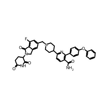 NC(=O)c1ccc(C2CCN(Cc3cc(F)c4c(c3)CN(C3CCC(=O)NC3=O)C4=O)CC2)nc1-c1ccc(Oc2ccccc2)cc1